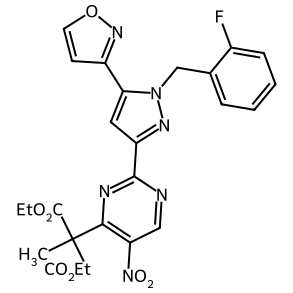 CCOC(=O)C(C)(C(=O)OCC)c1nc(-c2cc(-c3ccon3)n(Cc3ccccc3F)n2)ncc1[N+](=O)[O-]